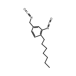 CCCCCCCc1ccc(CN=C=O)cc1N=C=O